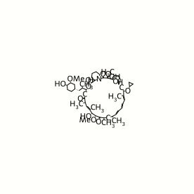 CO[C@@H]1C[C@H](C[C@@H](C)[C@@H]2CC(=O)[C@H](C)/C=C(\C)[C@@H](O)[C@@H](OC)C(=O)[C@H](C)C[C@H](C)/C=C/C=C/C=C(\C)[C@H](OC3CC3)C[C@@H]3CC[C@@H](C)[C@@](O)(O3)C(=O)C(=O)N3CCCC[C@H]3C(=O)O2)CC[C@H]1O